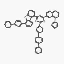 c1ccc(-c2ccc(-c3ccc(-c4nc(-c5ccc6cccc(-c7ccccc7)c6c5)nc(-c5cccc6oc7c(-c8ccc(-c9ccccc9)cc8)cccc7c56)n4)cc3)cc2)cc1